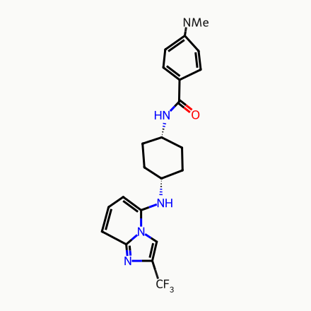 CNc1ccc(C(=O)N[C@H]2CC[C@@H](Nc3cccc4nc(C(F)(F)F)cn34)CC2)cc1